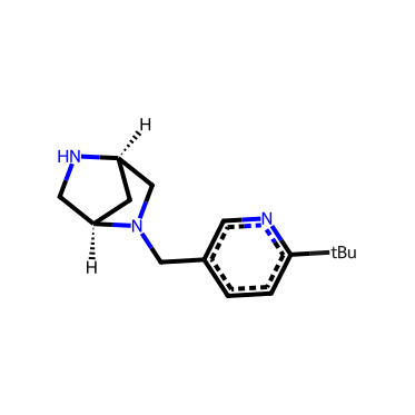 CC(C)(C)c1ccc(CN2C[C@H]3C[C@@H]2CN3)cn1